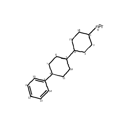 CCCC1CCC(C2CCC(c3ccccc3)CC2)CC1